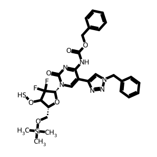 C[Si](C)(C)OC[C@H]1O[C@@H](n2cc(-c3cn(Cc4ccccc4)nn3)c(NC(=O)OCc3ccccc3)nc2=O)C(F)(F)C1OS